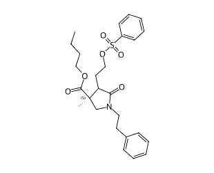 CCCCOC(=O)[C@]1(C)CN(CCc2ccccc2)C(=O)C1CCOS(=O)(=O)c1ccccc1